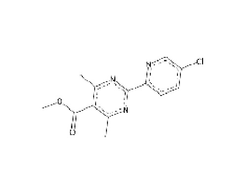 COC(=O)c1c(C)nc(-c2ccc(Cl)cn2)nc1C